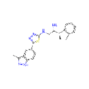 Cc1n[nH]c2ccc(-c3nnc(NC[C@H](N)[C@@H]4CCc5ccccc54)s3)cc12